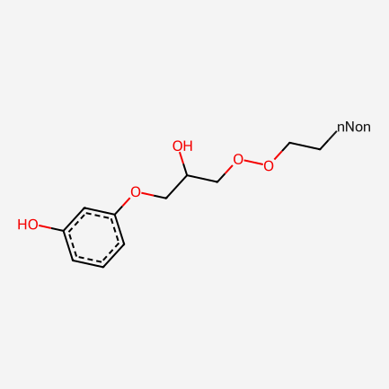 CCCCCCCCCCCOOCC(O)COc1cccc(O)c1